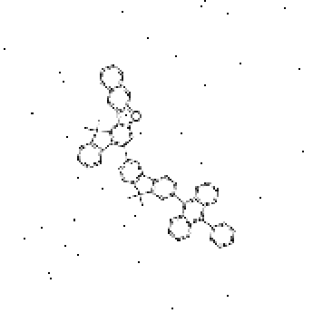 CC1(C)c2ccc(-c3cc4oc5cc6ccccc6cc5c4c4c3-c3ccccc3C4(C)C)cc2-c2ccc(-c3c4ccccc4c(-c4ccccc4)c4ccccc34)cc21